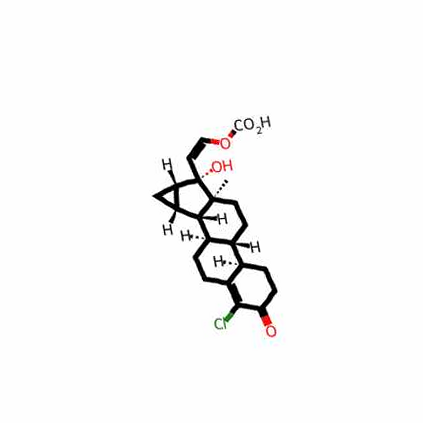 C[C@]12CC[C@H]3[C@@H](CCC4=C(Cl)C(=O)CC[C@@H]43)[C@@H]1[C@@H]1C[C@@H]1[C@@]2(O)/C=C\OC(=O)O